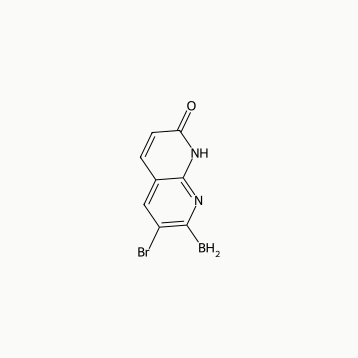 Bc1nc2[nH]c(=O)ccc2cc1Br